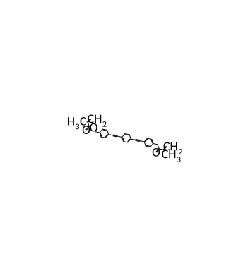 C=C(C)C(=O)Cc1ccc(C#Cc2ccc(C#Cc3ccc(COC(=O)C(=C)C)cc3)cc2)cc1